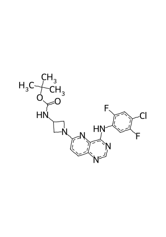 CC(C)(C)OC(=O)NC1CN(c2ccc3ncnc(Nc4cc(F)c(Cl)cc4F)c3n2)C1